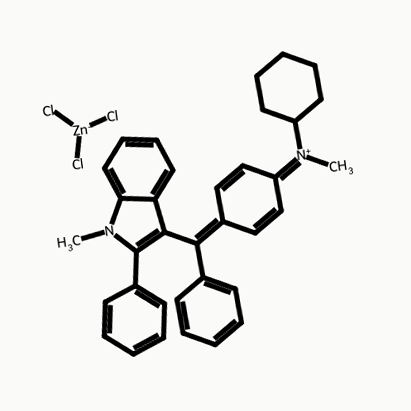 Cn1c(-c2ccccc2)c(C(=C2C=CC(=[N+](C)C3CCCCC3)C=C2)c2ccccc2)c2ccccc21.[Cl][Zn-]([Cl])[Cl]